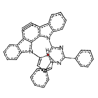 c1c2c3ccccc3n(C3=CC=CCN3)c2c2c(c#1)c1ccccc1n2-c1nc(-c2ccccc2)nc(-c2ccccc2)n1